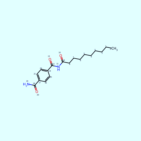 CCCCCCCCCC(=O)NC(=O)c1ccc(C(N)=O)cc1